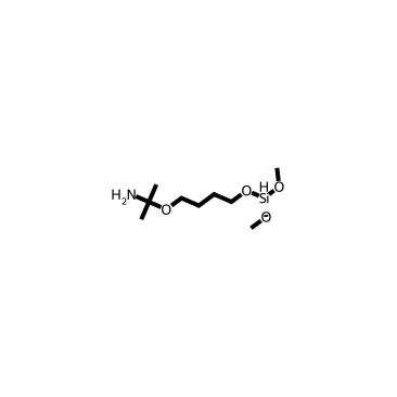 CO[SiH](OC)OCCCCOC(C)(C)N